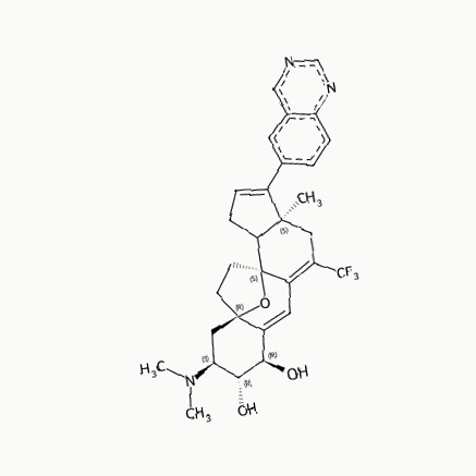 CN(C)[C@H]1C[C@@]23CC[C@@]4(O2)C(=C(C(F)(F)F)C[C@]2(C)C(c5ccc6ncncc6c5)=CCC24)C=C3[C@@H](O)[C@@H]1O